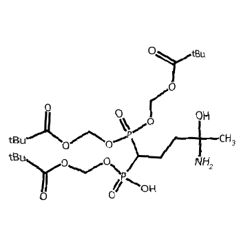 CC(N)(O)CCC(P(=O)(O)OCOC(=O)C(C)(C)C)P(=O)(OCOC(=O)C(C)(C)C)OCOC(=O)C(C)(C)C